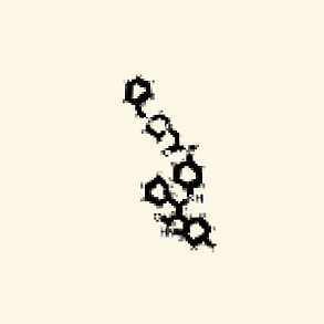 CN(C(=O)CN1CCN(Cc2ccccc2)CC1)c1ccc(NC(=C2C(=O)Nc3cc(F)ccc32)c2ccccc2)cc1